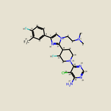 CN(C)CCn1cc(-c2ccc(F)c(C(F)(F)F)c2)nc1C1CCN(c2ncnc(N)c2Cl)CC1F